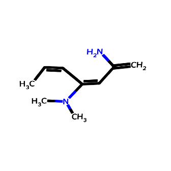 C=C(N)/C=C(\C=C/C)N(C)C